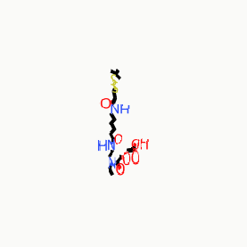 CCN(CCNC(=O)CCCCCNC(=O)CCSSC(C)(C)C)C(=O)COCC(=O)O